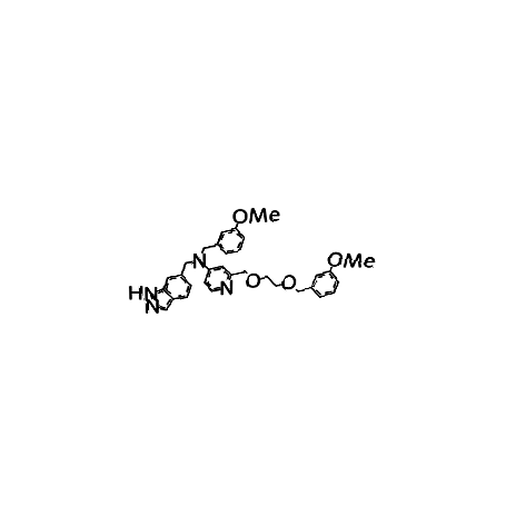 COc1cccc(COCCOCc2cc(N(Cc3cccc(OC)c3)Cc3ccc4cn[nH]c4c3)ccn2)c1